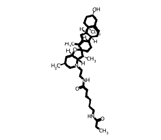 CCC(=O)NCCCCCC(=O)NCCN1C[C@@H](C)C[C@H]2OC3(CC[C@@H]4C(=C3C)C[C@H]3[C@H]4CC=C4C[C@@H](O)CC[C@@]43C)[C@H](C)[C@@H]21